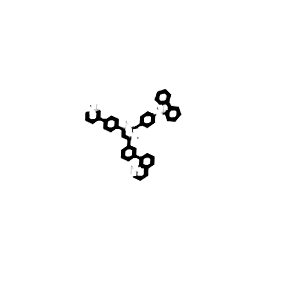 c1cncc(-c2ccc(-c3cc(-c4cccc(-c5cccc6cccnc56)c4)nc(-c4ccc(-n5c6ccccc6c6ccccc65)cc4)n3)cc2)c1